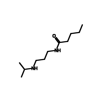 CCCCC(=O)NCCCNC(C)C